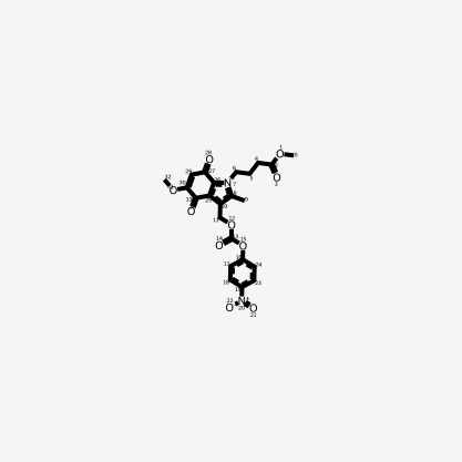 COC(=O)CCCn1c(C)c(COC(=O)Oc2ccc([N+](=O)[O-])cc2)c2c1C(=O)C=C(OC)C2=O